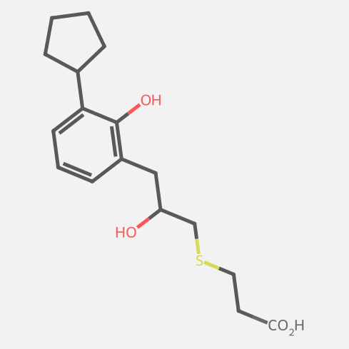 O=C(O)CCSCC(O)Cc1cccc(C2CCCC2)c1O